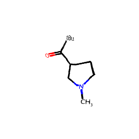 CN1CCC(C(=O)C(C)(C)C)C1